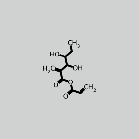 C=CC(=O)OC(=O)C(=C)C(O)C(O)CC